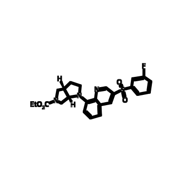 CCOC(=O)N1C[C@@H]2CCN(c3cccc4cc(S(=O)(=O)c5cccc(F)c5)cnc34)[C@@H]2C1